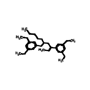 CCCCCC([CH]C(CC)c1cc(CC)cc(CC)c1)Cc1cc(CC)cc(CC)c1